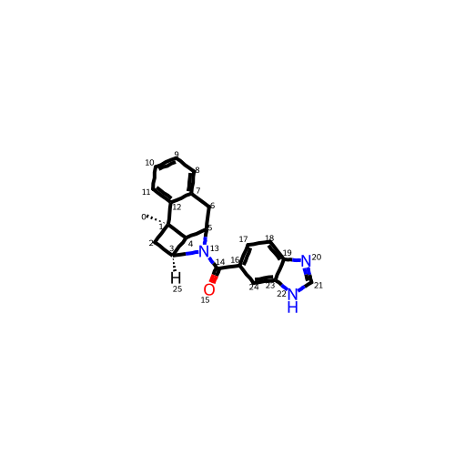 C[C@@]12C[C@H]3C1C(Cc1ccccc12)N3C(=O)c1ccc2nc[nH]c2c1